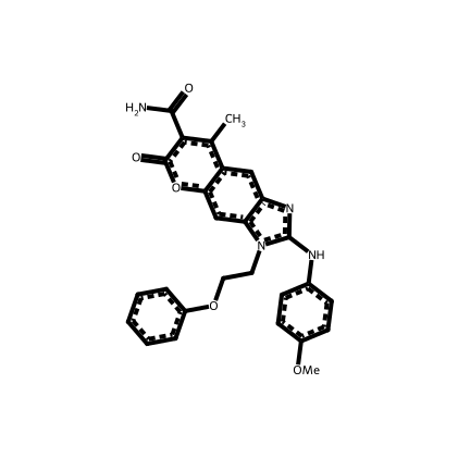 COc1ccc(Nc2nc3cc4c(C)c(C(N)=O)c(=O)oc4cc3n2CCOc2ccccc2)cc1